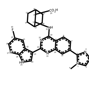 Cn1ccnc1-c1ccc2c(NC3C4CCC(CC4)C3C(=O)O)nc(-c3c[nH]c4ncc(F)cc34)nc2c1